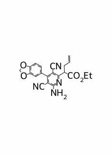 C=CCC(C(=O)OCC)c1nc(N)c(C#N)c(-c2ccc3c(c2)OCO3)c1C#N